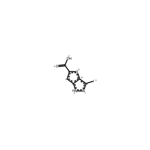 O=C(O)c1cc2[nH]nc(I)c2s1